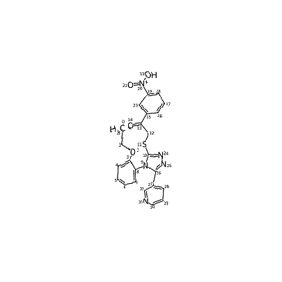 CCOc1ccccc1-n1c(SCC(=O)c2cccc([N+](=O)O)c2)nnc1-c1cccnc1